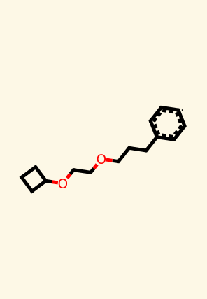 [c]1ccc(CCCOCCOC2CCC2)cc1